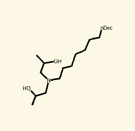 CCCCCCCCCCCCCCCCCN(CC(C)O)CC(C)O